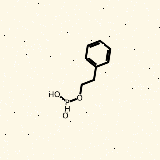 O=[PH](O)OCCc1ccccc1